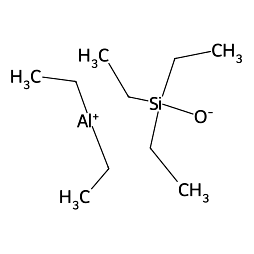 CC[Si]([O-])(CC)CC.C[CH2][Al+][CH2]C